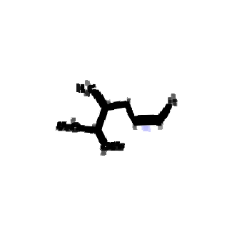 CC/C=C\CC(C)C(OC)OC